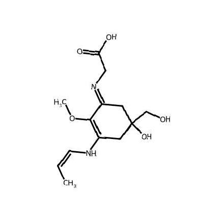 C/C=C\NC1=C(OC)C(=NCC(=O)O)CC(O)(CO)C1